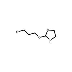 BrCCCOC1NCCO1